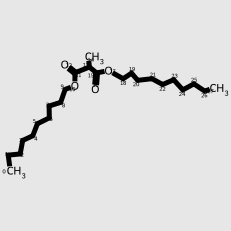 CCCCCCCCCCOC(=O)C(C)C(=O)OCCCCCCCCCC